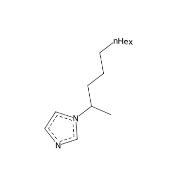 CCCCCCCCCC(C)n1ccnc1